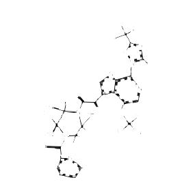 [2H]c1nc(C([2H])([2H])[2H])nn1-c1ncc(OC([2H])([2H])[2H])c2c(C(=O)C(=O)N3C([2H])([2H])C([2H])([2H])N(C(=O)c4ccccn4)C([2H])([2H])C3([2H])[2H])c[nH]c12